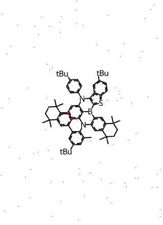 Cc1cc2c3c(c1)N(c1ccc(C(C)(C)C)cc1)c1c(sc4ccc(C(C)(C)C)cc14)B3c1cc3c(cc1N2c1c(C)cc(C(C)(C)C)cc1-c1ccc2c(c1)C(C)(C)CCC2(C)C)C(C)(C)CCC3(C)C